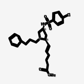 COC(=O)CCCC=C[C@@H]1C[C@@H](NS(=O)(=O)c2ccc(Cl)cc2)CN1CCCc1ccccc1